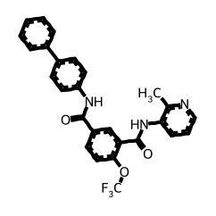 Cc1ncccc1NC(=O)c1cc(C(=O)Nc2ccc(-c3ccccc3)cc2)ccc1OC(F)(F)F